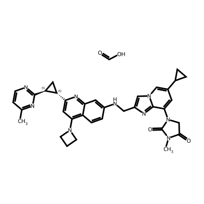 Cc1ccnc([C@H]2C[C@@H]2c2cc(N3CCC3)c3ccc(NCc4cn5cc(C6CC6)cc(N6CC(=O)N(C)C6=O)c5n4)cc3n2)n1.O=CO